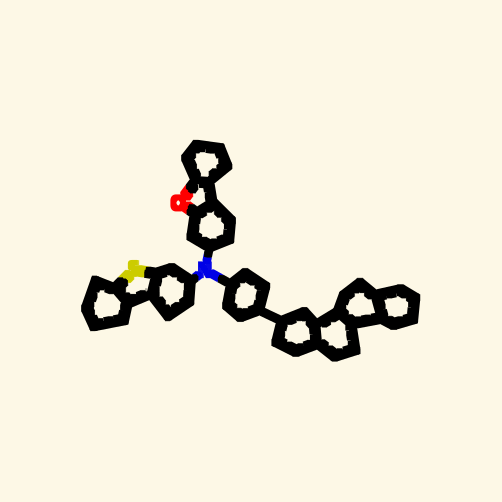 c1ccc2c(c1)ccc1c3cc(-c4ccc(N(c5ccc6c(c5)oc5ccccc56)c5ccc6c(c5)sc5ccccc56)cc4)ccc3ccc21